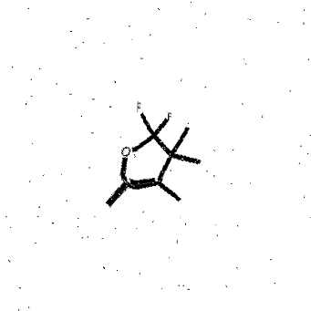 CC1=C(C)C(C)(C)C(F)(F)O1